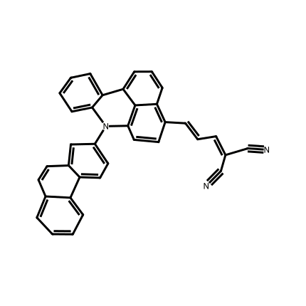 N#CC(C#N)=C/C=C/c1ccc2c3c(cccc13)-c1ccccc1N2c1ccc2c(ccc3ccccc32)c1